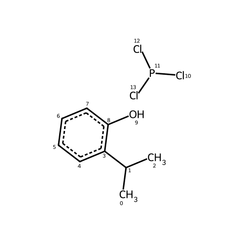 CC(C)c1ccccc1O.ClP(Cl)Cl